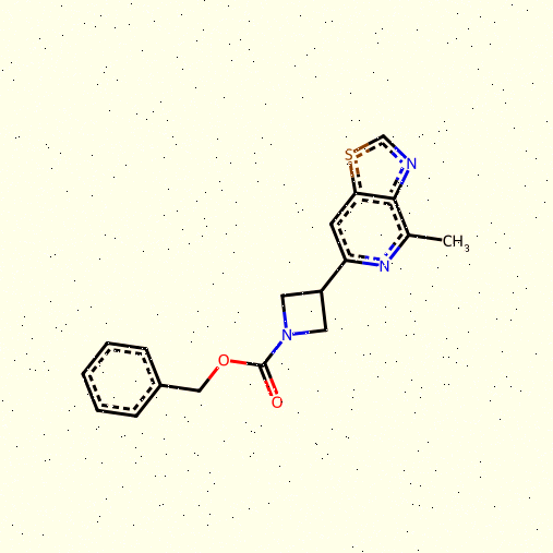 Cc1nc(C2CN(C(=O)OCc3ccccc3)C2)cc2scnc12